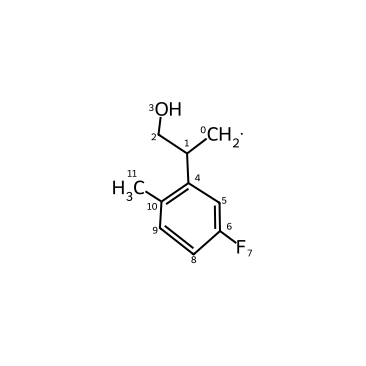 [CH2]C(CO)c1cc(F)ccc1C